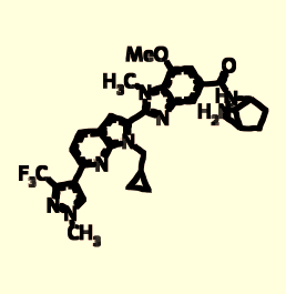 COc1cc(C(=O)N2CC3CCC2[C@@H]3N)cc2nc(-c3cc4ccc(-c5cn(C)nc5C(F)(F)F)nc4n3CC3CC3)n(C)c12